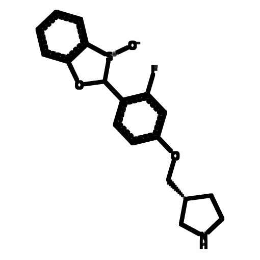 [O-][S+]1c2ccccc2OC1c1ccc(OC[C@@H]2CCNC2)cc1F